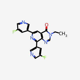 CCn1cnc2c(-c3cncc(F)c3)nc(-c3cncc(F)c3)cc2c1=O